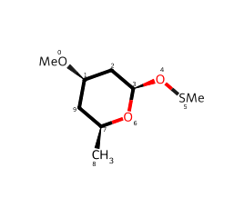 CO[C@H]1C[C@@H](OSC)O[C@@H](C)C1